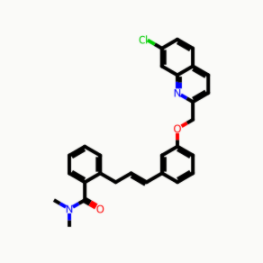 CN(C)C(=O)c1ccccc1CC=Cc1cccc(OCc2ccc3ccc(Cl)cc3n2)c1